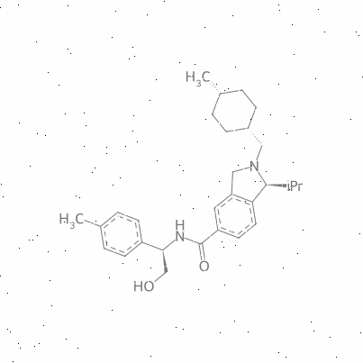 Cc1ccc([C@H](CO)NC(=O)c2ccc3c(c2)CN(C[C@H]2CC[C@@H](C)CC2)[C@H]3C(C)C)cc1